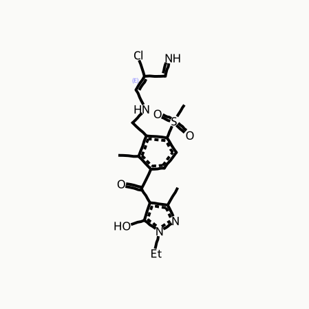 CCn1nc(C)c(C(=O)c2ccc(S(C)(=O)=O)c(CN/C=C(/Cl)C=N)c2C)c1O